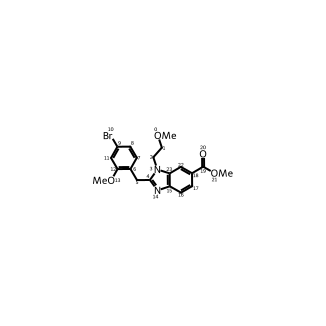 COCCn1c(Cc2ccc(Br)cc2OC)nc2ccc(C(=O)OC)cc21